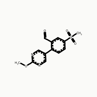 COc1ncc(-c2ccc(S(C)(=O)=O)cc2C=O)cn1